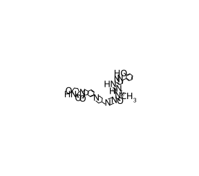 C[C@H]1CN2c3cc(-c4ccccc4O)nnc3NC[C@H]2CN1C(=O)N1CCN(CC2CCN(c3ccc4c(c3)C(=O)N(C3CCC(=O)NC3=O)C4)CC2)CC1